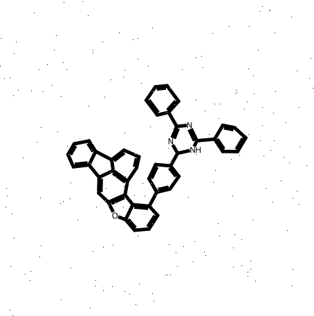 c1ccc(C2=NC(c3ccc(-c4cccc5oc6cc7c8c(cccc8c6c45)-c4ccccc4-7)cc3)NC(c3ccccc3)=N2)cc1